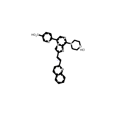 Cl.O=C(O)c1ccc(-c2cnc(N3CCOCC3)c3nc(/C=C/c4ccc5ccccc5n4)cn23)nc1